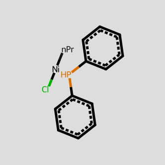 CC[CH2][Ni][Cl].c1ccc(Pc2ccccc2)cc1